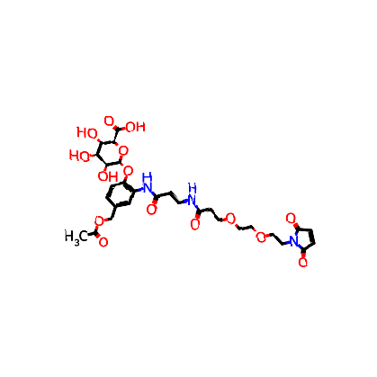 CC(=O)OCc1ccc(O[C@@H]2O[C@H](C(=O)O)[C@H](O)[C@H](O)[C@@H]2O)c(NC(=O)CCNC(=O)CCOCCOCCN2C(=O)C=CC2=O)c1